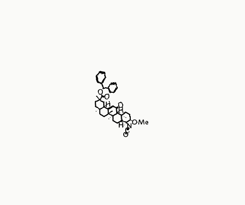 CO[C@H]1CC[C@@]2(C)[C@@H](CC[C@]3(C)[C@@H]2C(=O)C=C2[C@@H]4C[C@@](C)(C(=O)OC(c5ccccc5)c5ccccc5)CC[C@]4(C)CC[C@]23C)[C@]1(C)N=C=O